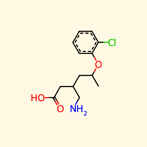 CC(CC(CN)CC(=O)O)Oc1ccccc1Cl